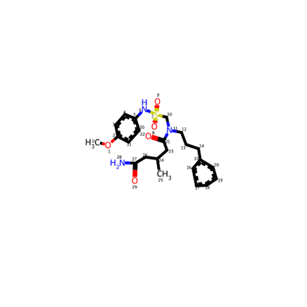 COc1ccc(NS(=O)(=O)CN(CCCc2ccccc2)C(=O)CC(C)CC(N)=O)cc1